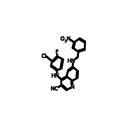 N#Cc1cnc2ccc(NCc3cccc([N+](=O)[O-])c3)cc2c1Nc1ccc(F)c(Cl)c1